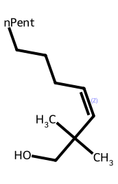 CCCCCCCC/C=C\C(C)(C)CO